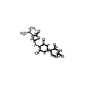 CC(C)n1nc(Cc2c(Cl)cc(-c3n[nH]c(=O)[nH]c3=O)cc2Cl)oc1=O